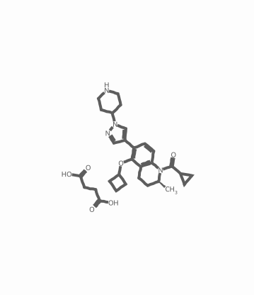 C[C@H]1CCc2c(ccc(-c3cnn(C4CCNCC4)c3)c2OC2CCC2)N1C(=O)C1CC1.O=C(O)CCC(=O)O